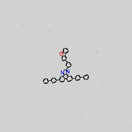 c1ccc(-c2ccc(-c3ccc4c5ccc(-c6ccc(-c7ccccc7)cc6)cc5c5nc(-c6cccc(-c7ccc8oc9ccccc9c8c7)c6)cnc5c4c3)cc2)cc1